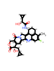 Cc1c(F)cc2nc3c(c4c2c1CC[C@H]4NC(=O)[C@H](O)C1CC1)Cn1c-3cc2c(c1=O)COC(=O)[C@]2(O)CC1CC1